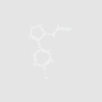 O=CCC1CCC=C1c1ccc(F)cc1